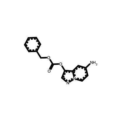 Nc1ccn2ncc(OC(=O)OCc3ccccc3)c2c1